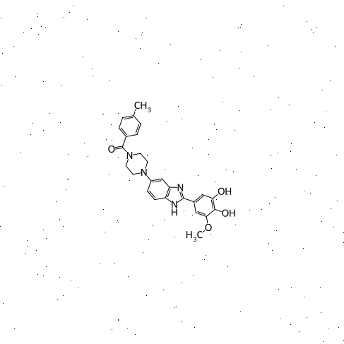 COc1cc(-c2nc3cc(N4CCN(C(=O)c5ccc(C)cc5)CC4)ccc3[nH]2)cc(O)c1O